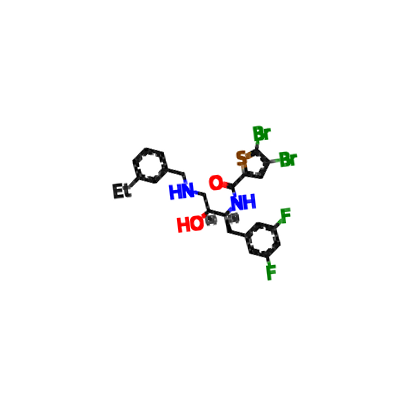 CCc1cccc(CNC[C@H](O)[C@H](Cc2cc(F)cc(F)c2)NC(=O)c2cc(Br)c(Br)s2)c1